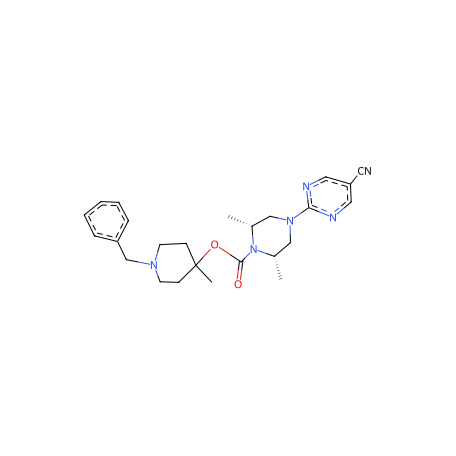 C[C@@H]1CN(c2ncc(C#N)cn2)C[C@H](C)N1C(=O)OC1(C)CCN(Cc2ccccc2)CC1